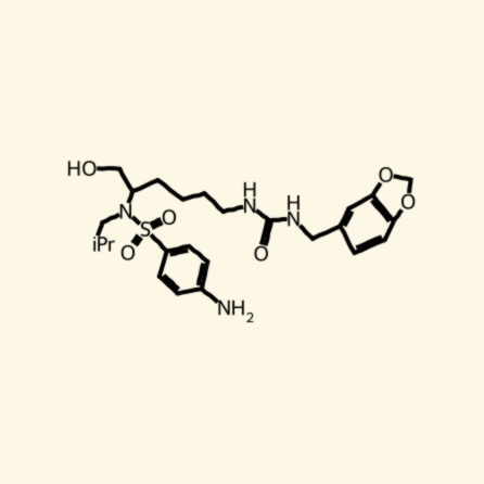 CC(C)CN(C(CO)CCCCNC(=O)NCc1ccc2c(c1)OCO2)S(=O)(=O)c1ccc(N)cc1